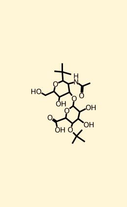 CC(=O)NC1C(OC2OC(C(=O)O)C(OC(C)(C)C)C(O)C2O)C(O)C(CO)OC1C(C)(C)C